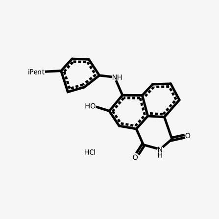 CCCC(C)c1ccc(Nc2c(O)cc3c4c(cccc24)C(=O)NC3=O)cc1.Cl